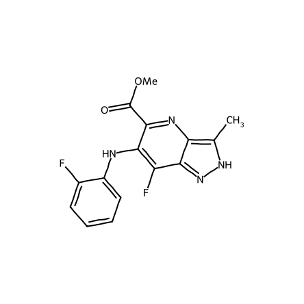 COC(=O)c1nc2c(C)[nH]nc2c(F)c1Nc1ccccc1F